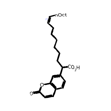 CCCCCCCC/C=C\CCCCCCC(C(=O)O)c1ccc2ccc(=O)oc2c1